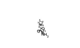 NN1COC(CN2CCCC2)C1=O